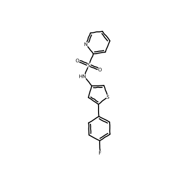 O=S(=O)(Nc1csc(-c2ccc(F)cc2)c1)c1ccccn1